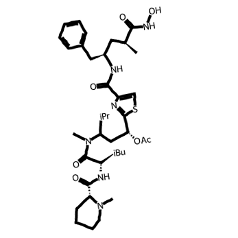 CC[C@H](C)[C@H](NC(=O)[C@H]1CCCCN1C)C(=O)N(C)C(C[C@@H](OC(C)=O)c1nc(C(=O)N[C@@H](Cc2ccccc2)C[C@H](C)C(=O)NO)cs1)C(C)C